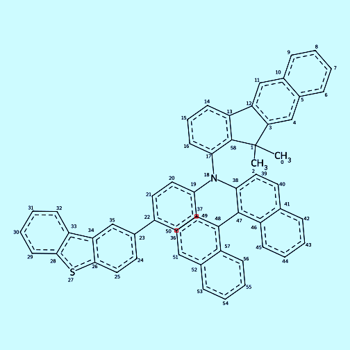 CC1(C)c2cc3ccccc3cc2-c2cccc(N(c3ccc(-c4ccc5sc6ccccc6c5c4)cc3)c3ccc4ccccc4c3-c3cccc4ccccc34)c21